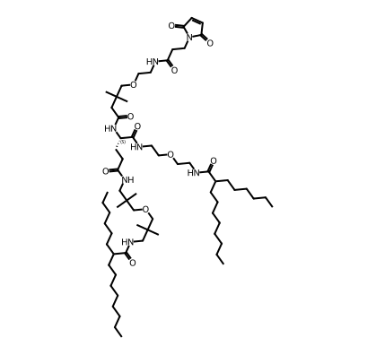 CCCCCCCCC(CCCCCC)C(=O)NCCOCCNC(=O)[C@H](CCC(=O)NCC(C)(C)COCC(C)(C)CNC(=O)C(CCCCCC)CCCCCCCC)NC(=O)CC(C)(C)COCCNC(=O)CCN1C(=O)C=CC1=O